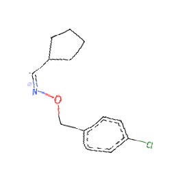 Clc1ccc(CO/N=[C]\C2CCCC2)cc1